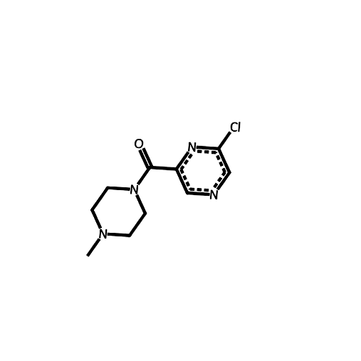 CN1CCN(C(=O)c2cncc(Cl)n2)CC1